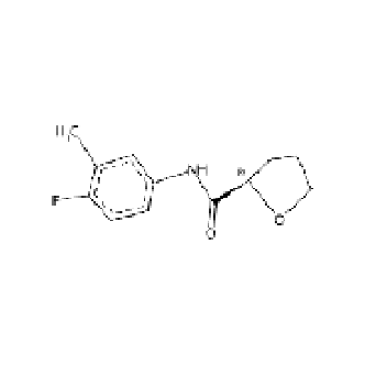 Cc1cc(NC(=O)[C@H]2CCCO2)ccc1F